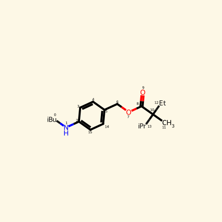 CCC(C)Nc1ccc(COC(=O)C(C)(CC)C(C)C)cc1